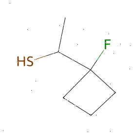 CC(S)C1(F)CCC1